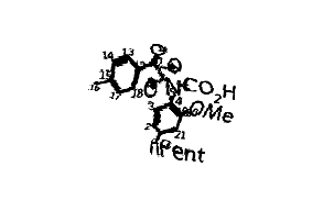 CCCCCc1ccc(N(C(=O)O)S(=O)(=O)C(=O)c2ccc(C)cc2)c(OC)c1